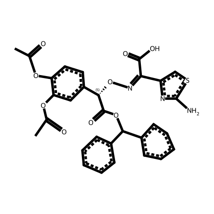 CC(=O)Oc1ccc([C@H](ON=C(C(=O)O)c2csc(N)n2)C(=O)OC(c2ccccc2)c2ccccc2)cc1OC(C)=O